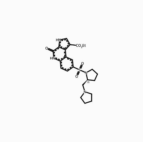 CCOC(=O)c1c[nH]c2c(=O)[nH]c3ccc(S(=O)(=O)N4CCC[C@H]4CN4CCCC4)cc3c12